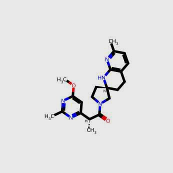 COc1cc([C@@H](C)C(=O)N2CC[C@@]3(CCc4ccc(C)nc4N3)C2)nc(C)n1